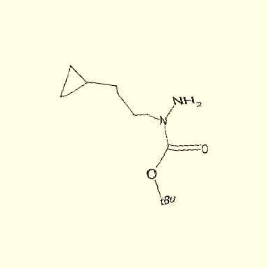 CC(C)(C)OC(=O)N(N)CCC1CC1